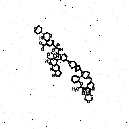 COc1cc(CN2CCN(C3CC4(CCN(c5ccc(C(=O)NS(=O)(=O)c6cc7c(c([N+](=O)[O-])c6)N[C@H](C6CCOCC6)CO7)c(N6c7cc8cc[nH]c8nc7O[C@H]7COCC[C@@H]76)c5)CC4)C3)[C@@H](c3ccccc3OC(C)C)C2)cnc1N1CCOCC1